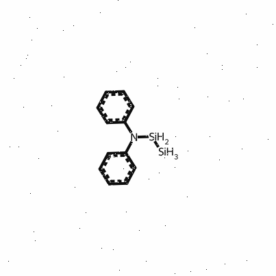 [SiH3][SiH2]N(c1ccccc1)c1ccccc1